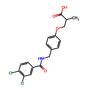 CC(COc1ccc(CNC(=O)c2ccc(Cl)c(Cl)c2)cc1)C(=O)O